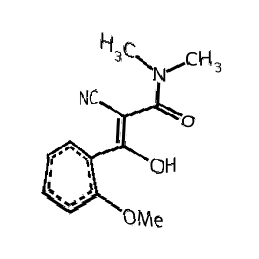 COc1ccccc1/C(O)=C(\C#N)C(=O)N(C)C